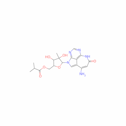 CC(C)C(=O)OCC1OC(n2cc3c4c(ncnc42)NC(=O)C=C3N)C(C)(O)C1O